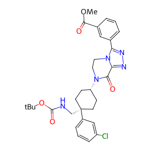 COC(=O)c1cccc(-c2nnc3n2CCN([C@H]2CC[C@](CNC(=O)OC(C)(C)C)(c4cccc(Cl)c4)CC2)C3=O)c1